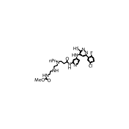 CCCN(CCNCCNC(=O)OC)CCC(=O)Nc1cc(Nc2cc(-c3cc(Cl)ccc3F)nnc2S)ccn1